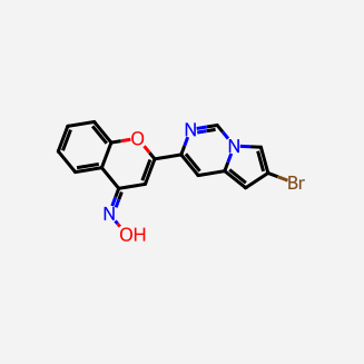 ON=c1cc(-c2cc3cc(Br)cn3cn2)oc2ccccc12